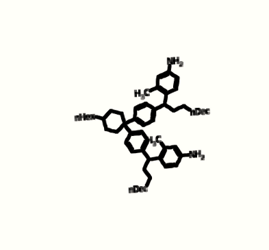 CCCCCCCCCCCCC(c1ccc(C2(c3ccc(C(CCCCCCCCCCCC)c4ccc(N)cc4C)cc3)CCC(CCCCCC)CC2)cc1)c1ccc(N)cc1C